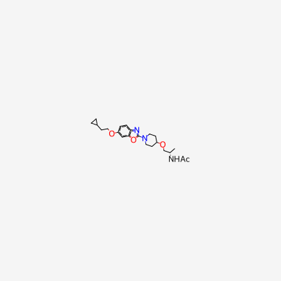 CC(=O)N[C@@H](C)COC1CCN(c2nc3ccc(OCCC4CC4)cc3o2)CC1